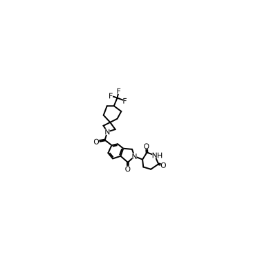 O=C1CCC(N2Cc3cc(C(=O)N4CC5(CCC(C(F)(F)F)CC5)C4)ccc3C2=O)C(=O)N1